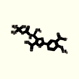 COc1ccc(-c2nc(C(=O)O)c([C@H](C)NC(=O)OC(C)(C)C)o2)cc1[N+](=O)[O-]